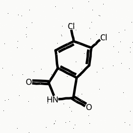 O=C1NC(=O)c2cc(Cl)c(Cl)cc21